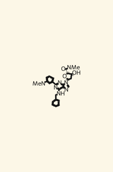 CNC(=O)[C@H]1O[C@@H](n2cnc3c(NCc4ccccc4)nc(-c4cccc(NC)c4)nc32)C[C@@H]1O